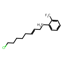 FC(F)(F)c1ccccc1[SiH2]CC=CCCCCCCl